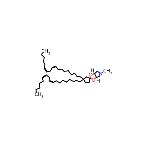 CCCCC/C=C\C/C=C\CCCCCCCCC1(CCCCCCCC/C=C\C/C=C\CCCCC)CCC2(C1)O[C@H]1CN(C)C[C@H]1O2